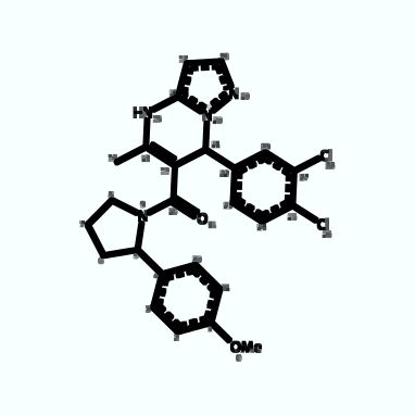 COc1ccc(C2CCCN2C(=O)C2=C(C)Nc3ccnn3C2c2ccc(Cl)c(Cl)c2)cc1